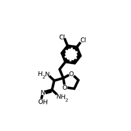 N/C(=N\O)C(N)C1(Cc2ccc(Cl)c(Cl)c2)OCCO1